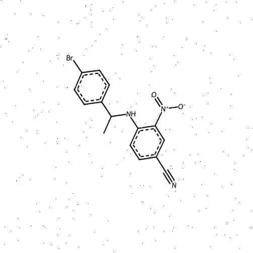 CC(Nc1ccc(C#N)cc1[N+](=O)[O-])c1ccc(Br)cc1